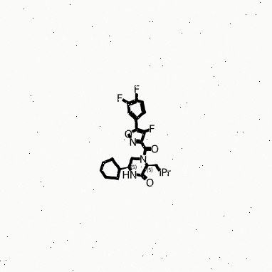 CC(C)C[C@H]1C(=O)N[C@@H](C2CCCCC2)CN1C(=O)c1noc(-c2ccc(F)c(F)c2)c1F